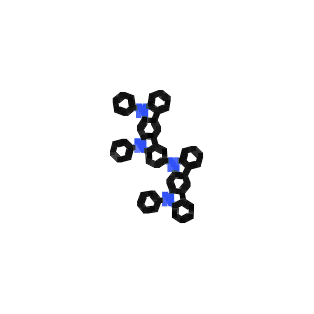 C1=CC(n2c3ccc(-n4c5ccccc5c5cc6c7ccccc7n(-c7ccccc7)c6cc54)cc3c3cc4c5ccccc5n(-c5ccccc5)c4cc32)=CCC1